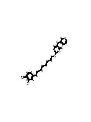 O=c1[nH]c(SCCCCCCCCc2ccc(Cl)c(Cl)c2)ncc1Cc1cccnc1